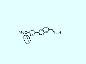 COc1ccc(-c2ccc3cc(C=NO)ccc3c2)cc1C12CC3CC(CC(C3)C1)C2